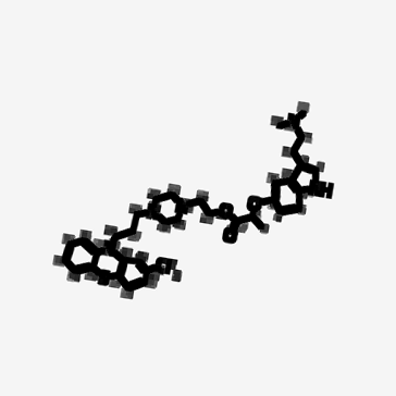 CC(Oc1ccc2[nH]cc(CCN(C)C)c2c1)C(=O)OCCN1CCN(CCCN2c3ccccc3Sc3ccc(C(F)(F)F)cc32)CC1